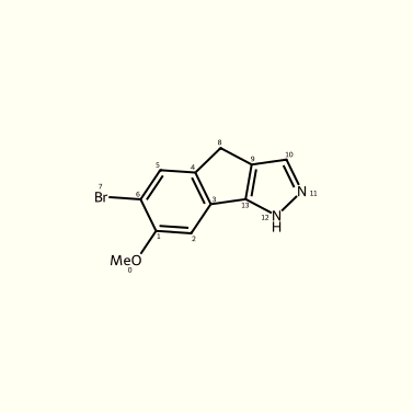 COc1cc2c(cc1Br)Cc1cn[nH]c1-2